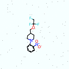 O=[N+]([O-])c1ccccc1N1CCC(COC(F)(F)CF)CC1